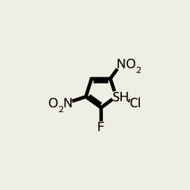 O=[N+]([O-])C1=CC([N+](=O)[O-])=C(F)[SH]1Cl